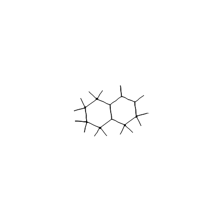 FC1C(F)C(F)(F)C(F)(F)C2C1C(F)(F)C(F)(F)C(F)(F)C2(F)F